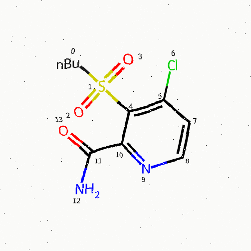 CCCCS(=O)(=O)c1c(Cl)ccnc1C(N)=O